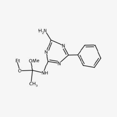 CCOC(C)(Nc1nc(N)nc(-c2ccccc2)n1)OC